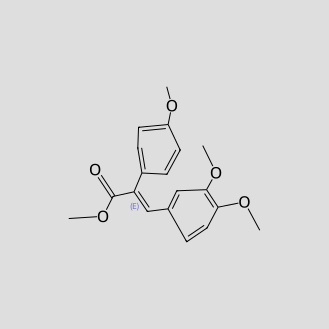 COC(=O)/C(=C/c1ccc(OC)c(OC)c1)c1ccc(OC)cc1